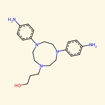 Nc1ccc(N2CCN(CCCO)CCN(c3ccc(N)cc3)CC2)cc1